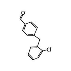 O=Cc1ccc(Cc2ccccc2Cl)cc1